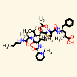 CCCCNC(=O)C(C)N(C(=O)[C@@H](NC(=O)[C@H]1CCCCN1C)[C@@H](C)CC)[C@H](C[C@@H](OC(C)=O)c1nc(C(=O)N[C@@H](Cc2ccccc2)C[C@H](C)C(=O)O)cs1)C(C)C